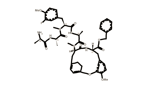 COc1ccc(C[C@@H](C(=O)N[C@@H](C)C(=O)N(C)[C@H]2CC3=CC=C(CC3)Oc3cc(ccc3OC)C[C@@H](C(=O)OCc3ccccc3)NC2=O)N(C)C(=O)[C@H](C)NC(=O)[C@@H](C)N)cc1F